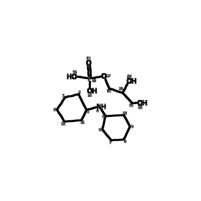 C1CCC(NC2CCCCC2)CC1.O=P(O)(O)OCC(O)CO